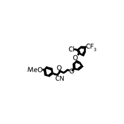 COc1ccc(C(C#N)C(=O)CCOc2cccc(Oc3ccc(C(F)(F)F)cc3Cl)c2)cc1